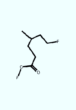 CC(CCF)CCC(=O)OF